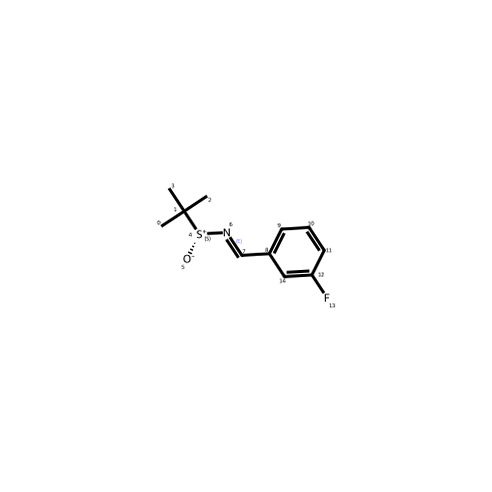 CC(C)(C)[S@@+]([O-])/N=C/c1cccc(F)c1